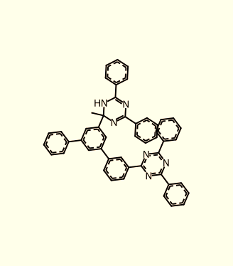 CC1(c2cc(-c3ccccc3)cc(-c3cccc(-c4nc(-c5ccccc5)nc(-c5ccccc5)n4)c3)c2)N=C(c2ccccc2)N=C(c2ccccc2)N1